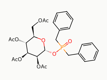 CC(=O)OC[C@H]1O[C@H](OP(=O)(Cc2ccccc2)Cc2ccccc2)[C@@H](OC(C)=O)[C@@H](OC(C)=O)[C@@H]1OC(C)=O